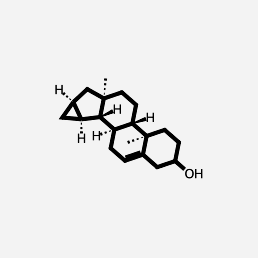 C[C@]12CC[C@H]3[C@@H](CC=C4CC(O)CC[C@@]43C)[C@@H]1[C@H]1C[C@H]1C2